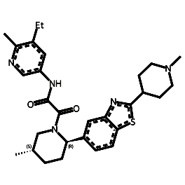 CCc1cc(NC(=O)C(=O)N2C[C@@H](C)CC[C@@H]2c2ccc3sc(C4CCN(C)CC4)nc3c2)cnc1C